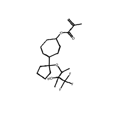 C=C(C)C(=O)OC1CCCC(C2(OC(C)C(C)(O)C(F)(F)F)CCCC2)CC1